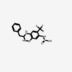 O=S(O)Nc1cc2c(cc1C(F)(F)F)NC(Cc1ccccc1)NS2